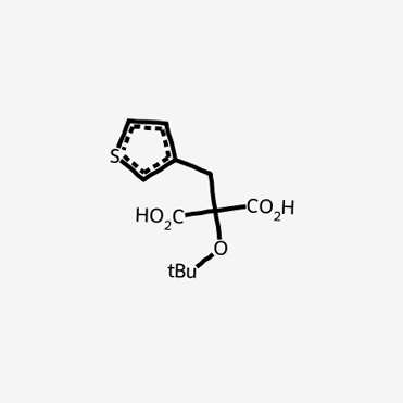 CC(C)(C)OC(Cc1ccsc1)(C(=O)O)C(=O)O